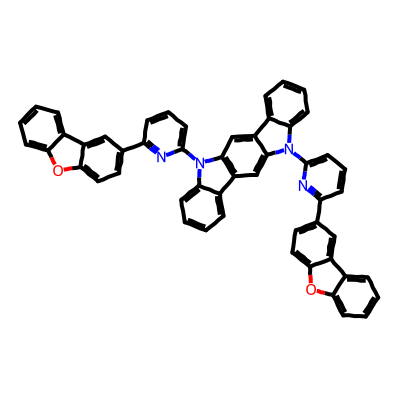 c1cc(-c2ccc3oc4ccccc4c3c2)nc(-n2c3ccccc3c3cc4c(cc32)c2ccccc2n4-c2cccc(-c3ccc4oc5ccccc5c4c3)n2)c1